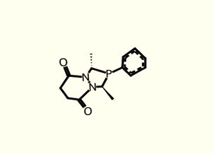 C[C@H]1N2C(=O)CCC(=O)N2[C@H](C)P1c1ccccc1